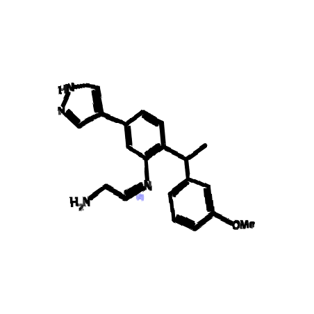 COc1cccc(C(C)c2ccc(-c3cn[nH]c3)cc2/N=C\CN)c1